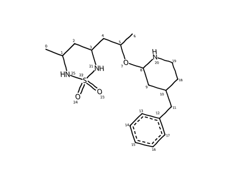 CC1CC(CC(C)OC2CC(Cc3ccccc3)CCN2)NS(=O)(=O)N1